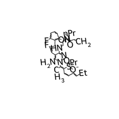 C=CC(=O)N(CCC)CCNc1nc(=O)n(/C(C)=C(/C=C\C=C\CC)[S+]([O-])C(C)C)c(N)c1/C=C(/F)Cc1c(O)cccc1F